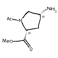 COC(=O)[C@H]1C[C@@H](N)CN1C(C)=O